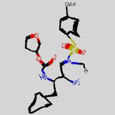 COc1ccc(S(=O)(=O)N(CC(C)C)CC(N)C(Cc2ccccc2)NC(=O)OC2CCOC2)cc1